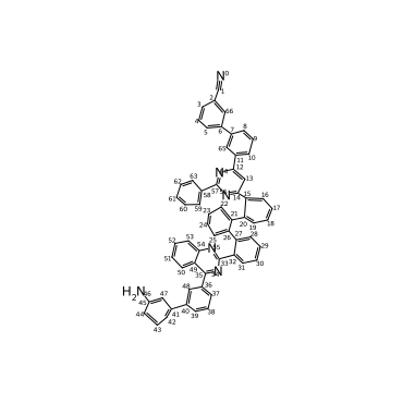 N#Cc1cccc(-c2cccc(-c3cc(-c4ccccc4-c4ccccc4-c4ccccc4-c4nc(-c5cccc(-c6cccc(N)c6)c5)c5ccccc5n4)nc(-c4ccccc4)n3)c2)c1